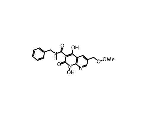 COOCc1cnc2c(c1)c(O)c(C(=O)NCc1ccccc1)c(=O)n2O